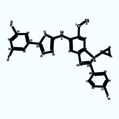 CCOc1cc2c(cc1Nc1nnc(-c3cc(F)cc(F)c3)s1)nc(-c1ccc(F)cc1)n2C1CC1